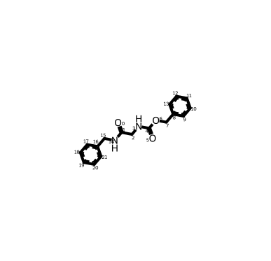 O=C(CNC(=O)OCc1ccccc1)NCc1ccccc1